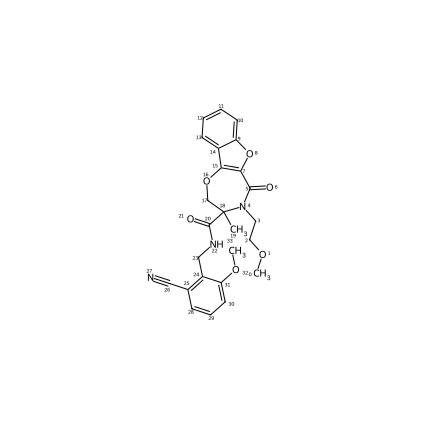 COCCN1C(=O)c2oc3ccccc3c2OCC1(C)C(=O)NCc1c(C#N)cccc1OC